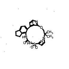 CC1(C)COc2nccc(c2F)-c2ccc3c(c2NC(=O)NS(=O)(=O)c2ccn1n2)CCC3